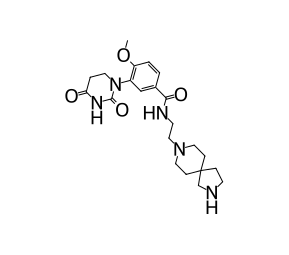 COc1ccc(C(=O)NCCN2CCC3(CCNC3)CC2)cc1N1CCC(=O)NC1=O